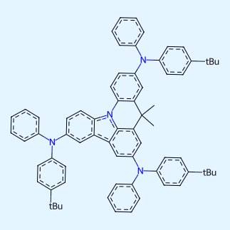 CC(C)(C)c1ccc(N(c2ccccc2)c2ccc3c(c2)C(C)(C)c2cc(N(c4ccccc4)c4ccc(C(C)(C)C)cc4)cc4c5cc(N(c6ccccc6)c6ccc(C(C)(C)C)cc6)ccc5n-3c24)cc1